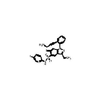 CCc1nn(-c2ccccc2C#CCN)c2cc(F)c(S(=O)(=O)Nc3ccc(F)cn3)cc12